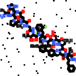 CCc1cc(OC)ccc1-c1ccc(C[C@H](NC(=O)[C@H](CC(=O)O)NC(=O)[C@H](CO)NC(=O)[C@@H](NC(=O)C(C)(Cc2c(F)cccc2F)NC(=O)[C@@H](NC(=O)CNC(=O)[C@H](CCC(N)=O)NC(=O)[C@]2(C)CCCN2C(=O)[C@H](Cc2cnc[nH]2)NC(=O)[C@@H](N)C(C)C)[C@@H](C)O)[C@@H](C)O)C(=O)NC(C)(CCCc2ccccc2)C(N)=O)cc1